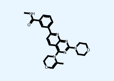 CNC(=O)c1cccc(-c2ccc3c(N4CCOC=C4C)nc(N4CCOCC4)nc3n2)c1